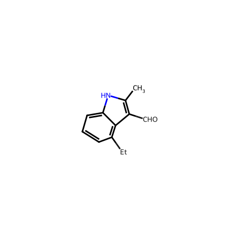 CCc1cccc2[nH]c(C)c(C=O)c12